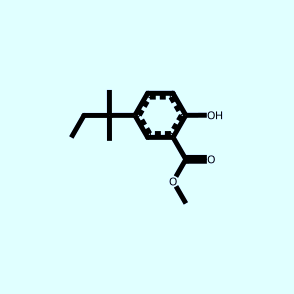 CCC(C)(C)c1ccc(O)c(C(=O)OC)c1